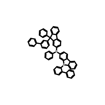 c1ccc(-c2cccc(C3(c4ccccc4)c4ccccc4-c4ccc(N(c5ccccc5)c5ccc6c7ccccc7n(-c7ccccc7-c7ccccc7)c6c5)cc43)c2)cc1